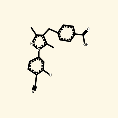 Cc1nn(-c2ccc(C#N)c(Cl)c2)c(C)c1Cc1ccc(C(=O)O)cc1